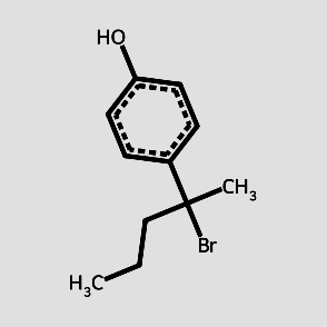 CCCC(C)(Br)c1ccc(O)cc1